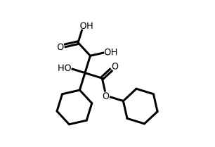 O=C(O)C(O)C(O)(C(=O)OC1CCCCC1)C1CCCCC1